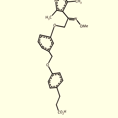 CO/N=C(\COc1cccc(COc2ccc(CCC(=O)O)cc2)c1)c1c(C)noc1C